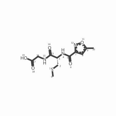 CSC[C@@H](NC(=O)c1cc(C)on1)C(=O)NCC(=O)O